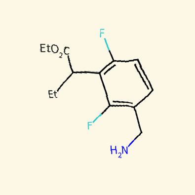 CCOC(=O)C(CC)c1c(F)ccc(CN)c1F